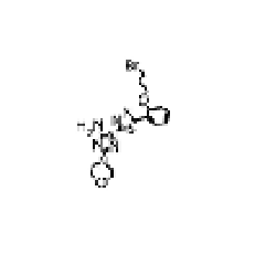 Nc1nc(N2CCOCC2)nn1-c1nnc(-c2ccccc2OCCCBr)s1